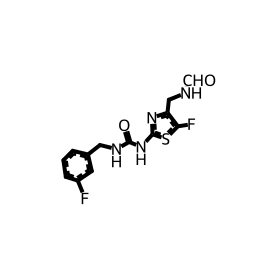 O=CNCc1nc(NC(=O)NCc2cccc(F)c2)sc1F